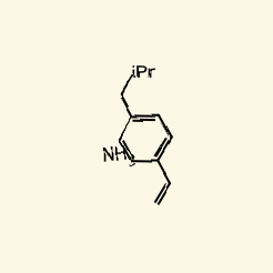 C=Cc1ccc(CC(C)C)cc1.N